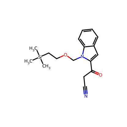 C[Si](C)(C)CCOCn1c(C(=O)CC#N)cc2ccccc21